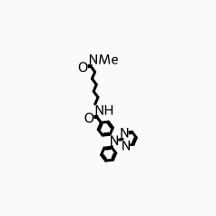 CNC(=O)CCCCCCNC(=O)c1ccc(N(c2ccccc2)c2ncccn2)cc1